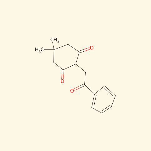 CC1(C)CC(=O)C(CC(=O)c2ccccc2)C(=O)C1